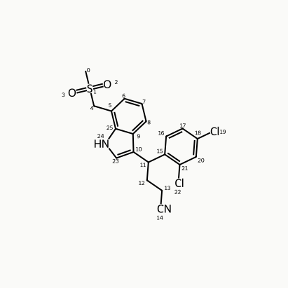 CS(=O)(=O)Cc1cccc2c(C(CCC#N)c3ccc(Cl)cc3Cl)c[nH]c12